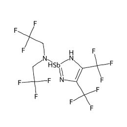 FC(F)(F)C[N](CC(F)(F)F)[SbH]1=[N]C(C(F)(F)F)=C(C(F)(F)F)[NH]1